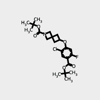 CC(C)(C)OC(=O)c1cc(Cl)c(OC2CC3(C2)CN(C(=O)OC(C)(C)C)C3)cc1F